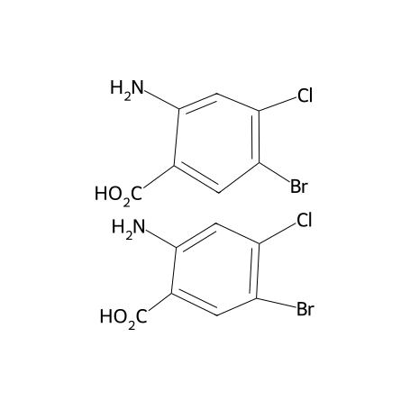 Nc1cc(Cl)c(Br)cc1C(=O)O.Nc1cc(Cl)c(Br)cc1C(=O)O